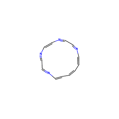 C1=CC=CN=CC=NC=CN=CC=NC=C1